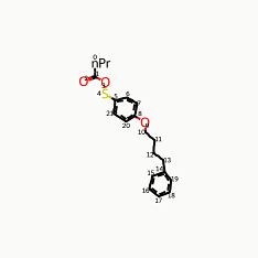 CCCC(=O)OSc1ccc(OCCCCc2ccccc2)cc1